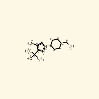 CC(C)(O)c1nn([C@H]2CC[C@H](CO)CC2)cc1N